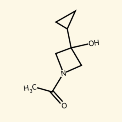 CC(=O)N1CC(O)(C2CC2)C1